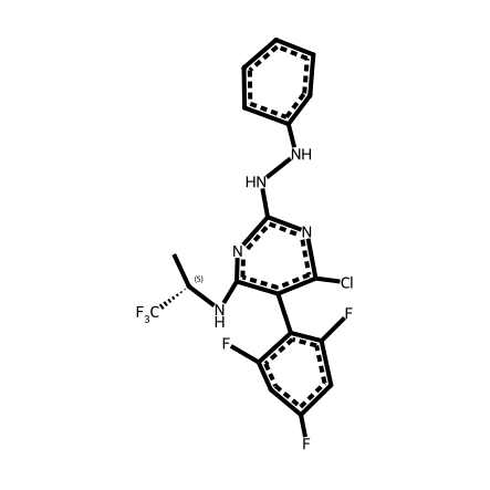 C[C@H](Nc1nc(NNc2ccccc2)nc(Cl)c1-c1c(F)cc(F)cc1F)C(F)(F)F